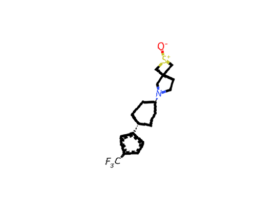 [O-][S+]1CC2(CCN([C@H]3CC[C@@H](c4ccc(C(F)(F)F)cc4)CC3)C2)C1